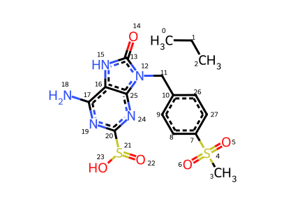 CCC.CS(=O)(=O)c1ccc(Cn2c(=O)[nH]c3c(N)nc(S(=O)O)nc32)cc1